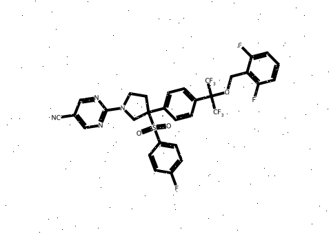 N#Cc1cnc(N2CCC(c3ccc(C(OCc4c(F)cccc4F)(C(F)(F)F)C(F)(F)F)cc3)(S(=O)(=O)c3ccc(F)cc3)C2)nc1